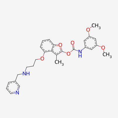 COc1cc(NC(=O)Oc2oc3cccc(OCCCNCc4cccnc4)c3c2C)cc(OC)c1